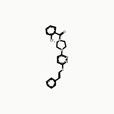 O=C(c1ccccc1C(F)(F)F)N1CCN(c2ccc(SC=Cc3ccccc3)nn2)CC1